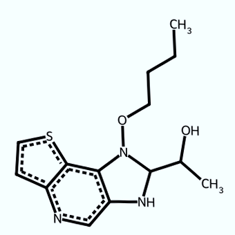 CCCCON1c2c(cnc3ccsc23)NC1C(C)O